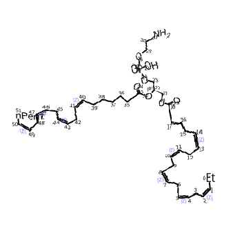 CC/C=C\C/C=C\C/C=C\C/C=C\C/C=C\CCCC(=O)OC[C@H](COP(=O)(O)OCCN)OC(=O)CCCCC/C=C\C/C=C\C/C=C\C/C=C\CCCCC